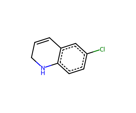 Clc1ccc2c(c1)C=CCN2